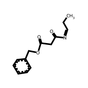 CC/C=N\C(=O)CC(=O)OCc1ccccc1